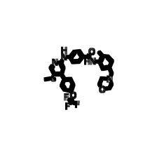 CSc1cnc(Nc2ccc(C(=O)Nc3cc(CN4CCOCC4)ccc3C)cc2)cc1-c1ccc(OC(F)(F)F)cc1